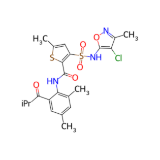 Cc1cc(C)c(NC(=O)c2sc(C)cc2S(=O)(=O)Nc2onc(C)c2Cl)c(C(=O)C(C)C)c1